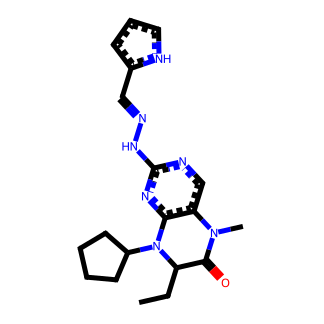 CCC1C(=O)N(C)c2cnc(NN=Cc3ccc[nH]3)nc2N1C1CCCC1